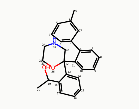 Cc1cccc(-c2ccccc2C2(c3ccccc3C(C)O)CNCCO2)c1